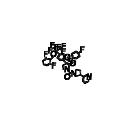 O=C(N1CCC(c2cccnc2)C1)N1CC[C@](c2ccc(C(OCc3c(F)cccc3F)(C(F)(F)F)C(F)(F)F)cc2)(S(=O)(=O)c2ccc(F)cc2)C1